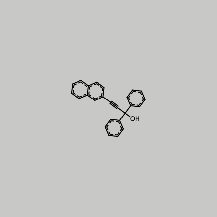 OC(C#Cc1ccc2ccccc2c1)(c1ccccc1)c1ccccc1